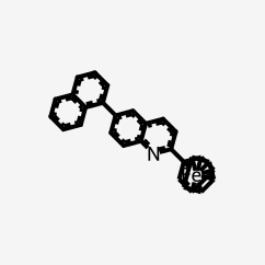 c1ccc2c(-c3ccc4nc([C]56[CH]7[CH]8[CH]9[CH]5[Fe]89765%10%11%12[CH]6[CH]5[CH]%10[CH]%11[CH]6%12)ccc4c3)cccc2c1